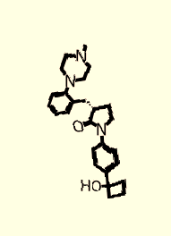 CN1CCN(c2ccccc2C[C@@H]2CCN(c3ccc(C4(O)CCC4)cc3)C2=O)CC1